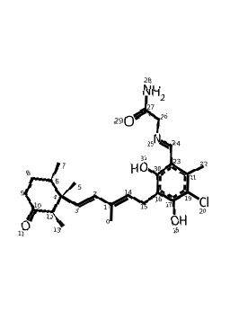 CC(/C=C/[C@@]1(C)[C@H](C)CCC(=O)[C@@H]1C)=C\Cc1c(O)c(Cl)c(C)c(C=NCC(N)=O)c1O